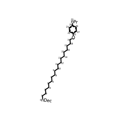 CCCCCCCCCCCCCCCCCCCCCCCCCCCCCOc1ccc(CCC)cc1